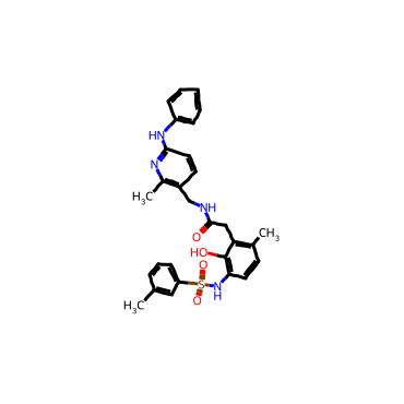 Cc1cccc(S(=O)(=O)Nc2ccc(C)c(CC(=O)NCc3ccc(Nc4ccccc4)nc3C)c2O)c1